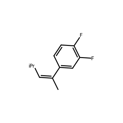 C/C(=C/C(C)C)c1ccc(F)c(F)c1